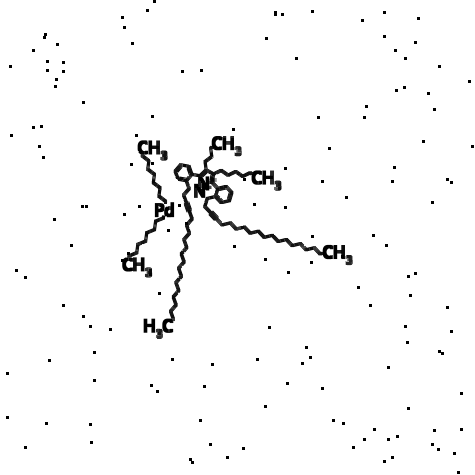 CCCCCCCCCCCCCCCCC#CCCc1ccccc1C1=C(CCCC)C(CCCCCC)=C(c2ccccc2CCC#CCCCCCCCCCCCCCCCC)[N+]1=[N-].CCCCCCCC[CH2][Pd][CH2]CCCCCCCC